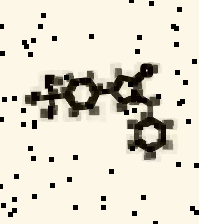 O=C1C=C(c2ccc(C(F)(F)F)cc2)CN1Cc1ccccc1